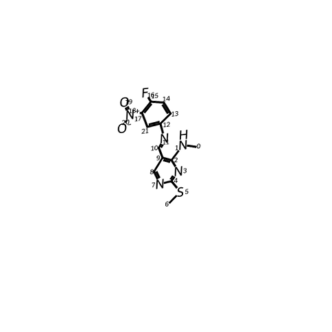 CNc1nc(SC)ncc1C=Nc1ccc(F)c([N+](=O)[O-])c1